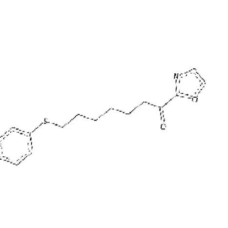 O=C(CCCCCCSc1ccccc1)c1ncco1